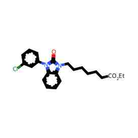 CCOC(=O)CCCCCCn1c(=O)n(-c2cccc(Cl)c2)c2ccccc21